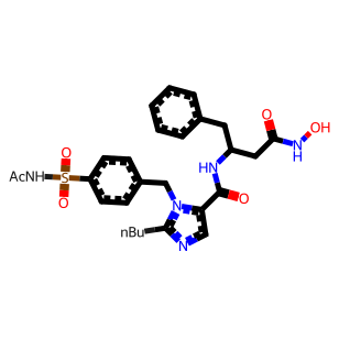 CCCCc1ncc(C(=O)NC(CC(=O)NO)Cc2ccccc2)n1Cc1ccc(S(=O)(=O)NC(C)=O)cc1